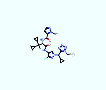 CC(C)n1nccc1C(=O)N[C@H](C(=O)Nc1cn(C(c2nnnn2CC(F)(F)F)C2CC2)nc1F)C(C)(C1CC1)C1CC1